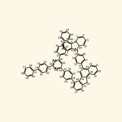 C1=CC2c3ccccc3N(c3ccc(-c4cc5c(c6ccccc46)Cc4cccc(-c6ccc(-c7cc(-c8ccc(-c9ccccc9)cc8)nc(-c8ccc(-c9ccccc9)cc8)n7)cc6)c4-5)cc3)C2C=C1